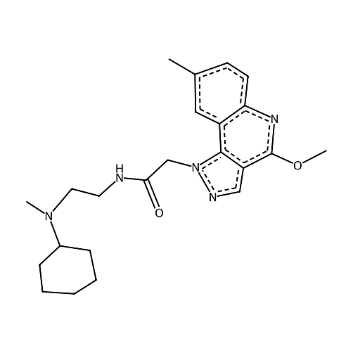 COc1nc2ccc(C)cc2c2c1cnn2CC(=O)NCCN(C)C1CCCCC1